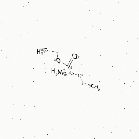 CCOOC(=O)OCC.[MgH2]